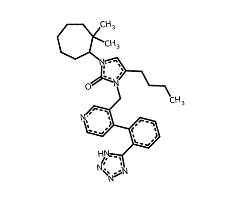 CCCCc1cn(C2CCCCCC2(C)C)c(=O)n1Cc1cnccc1-c1ccccc1-c1nnn[nH]1